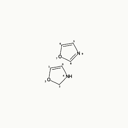 C1=COCN1.c1cocn1